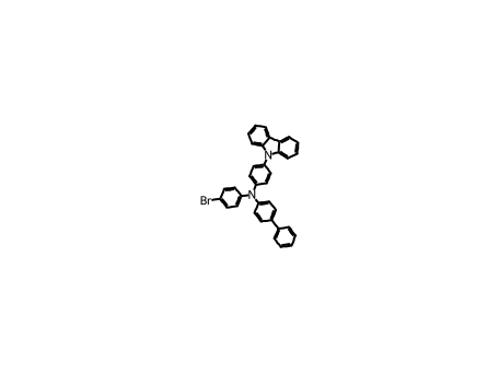 Brc1ccc(N(c2ccc(-c3ccccc3)cc2)c2ccc(-n3c4ccccc4c4ccccc43)cc2)cc1